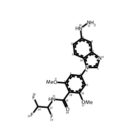 COc1cc(-n2cnc3cc(NN)ccc32)cc(OC)c1C(=O)NC(F)C(F)F